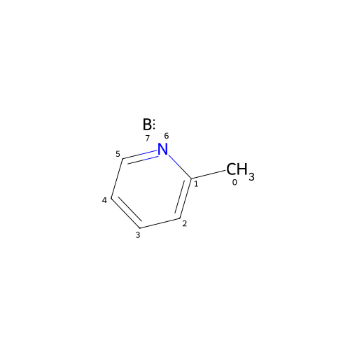 Cc1ccccn1.[B]